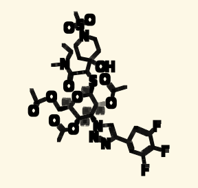 CCN(C)C(=O)C(S[C@@H]1O[C@H](COC(C)=O)[C@H](OC(C)=O)[C@H](n2cc(-c3cc(F)c(F)c(F)c3)nn2)[C@H]1OC(C)=O)C1(O)CCN(S(C)(=O)=O)CC1